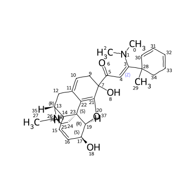 CN(C)/C(=C\C(=O)C1(O)CC=C2C[C@@H]3[C@@H]4C=C[C@H](O)[C@@H]5OC1=C2[C@]45CCN3C)C1(C)C=CC=CC1